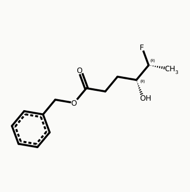 C[C@@H](F)[C@H](O)CCC(=O)OCc1ccccc1